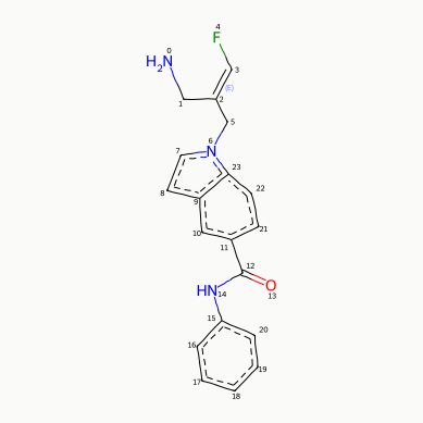 NC/C(=C\F)Cn1ccc2cc(C(=O)Nc3ccccc3)ccc21